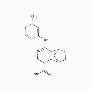 CC1C=C(NC2=NCC(C(=O)N=O)C3=C2C2CCC3C2)C=CC1